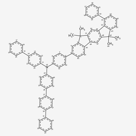 CC1(C)c2cc(-c3ccc(N(c4ccc(-c5ccccc5)cc4)c4ccc(-c5ccc(-c6ccccc6)cc5)cc4)cc3)ccc2-c2cc3c(cc21)-c1c(-c2ccccc2)cccc1C3(C)C